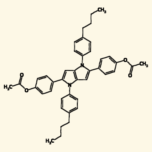 CCCCc1ccc(-n2c(-c3ccc(OC(C)=O)cc3)cc3c2cc(-c2ccc(OC(C)=O)cc2)n3-c2ccc(CCCC)cc2)cc1